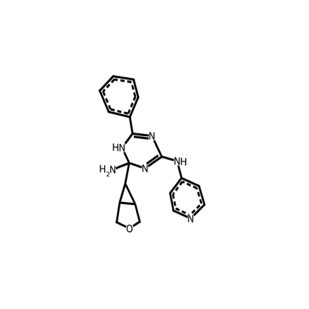 NC1(C2C3COCC32)N=C(Nc2ccncc2)N=C(c2ccccc2)N1